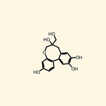 OCC1(O)COc2cc(O)ccc2-c2cc(O)c(O)cc2C1